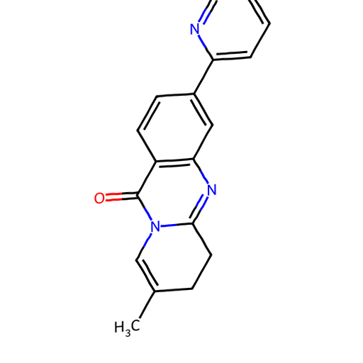 CC1=Cn2c(nc3cc(-c4ccccn4)ccc3c2=O)CC1